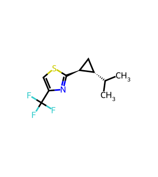 CC(C)[C@H]1C[C@@H]1c1nc(C(F)(F)F)cs1